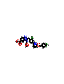 COCCn1c(Cc2ccc(-c3cccc(OCc4ccc(F)cc4)n3)cc2F)nc2ccc(C(=O)OC)cc21